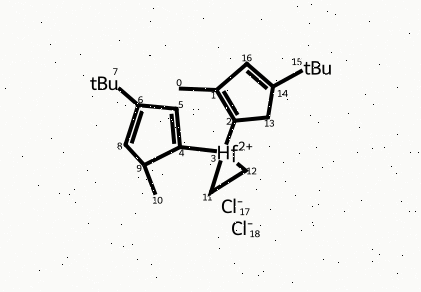 CC1=[C]([Hf+2]2([C]3=CC(C(C)(C)C)=CC3C)[CH2][CH2]2)CC(C(C)(C)C)=C1.[Cl-].[Cl-]